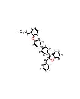 O=C(O)Cc1ccccc1Oc1ccc(-c2ccc(-c3c(Cc4ccccc4)oc4ccccc34)cc2)cc1